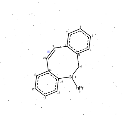 CCCN1Cc2ccccc2/C=C\c2ccccc21